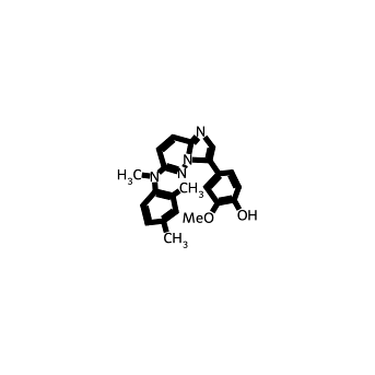 COc1cc(-c2cnc3ccc(N(C)c4ccc(C)cc4C)nn23)ccc1O